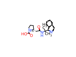 CC(C)(NC(=O)C[C@H]1CCCN1C(=O)O)c1nccc2ccccc12